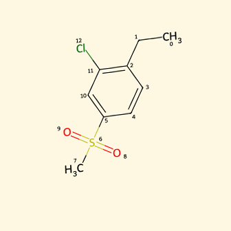 CCc1ccc(S(C)(=O)=O)cc1Cl